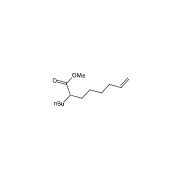 C=CCCCCC(CCCC)C(=O)OC